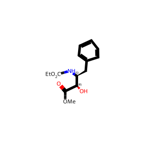 CCOC(=O)N[C@@H](Cc1ccccc1)[C@@H](O)C(=O)OC